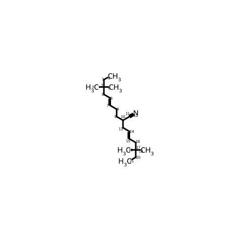 CCC(C)(C)C/C=C/CCC(C#N)C/C=C/CC(C)(C)CC